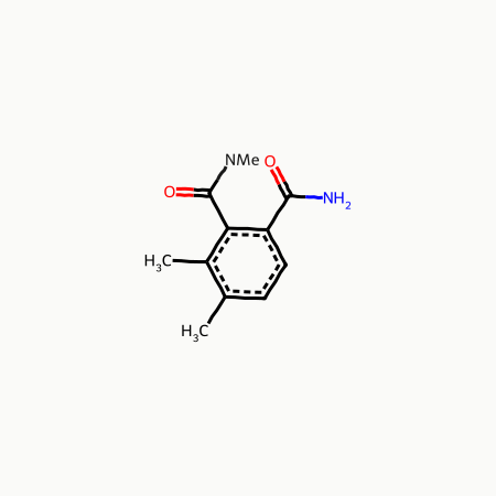 CNC(=O)c1c(C(N)=O)ccc(C)c1C